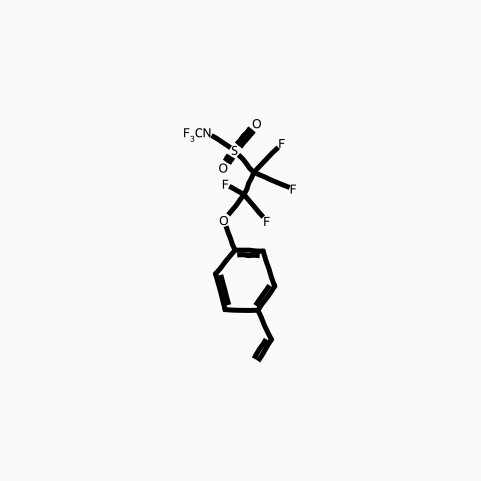 C=Cc1ccc(OC(F)(F)C(F)(F)S(=O)(=O)NC(F)(F)F)cc1